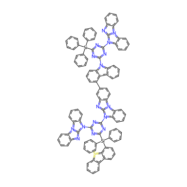 c1ccc([Si](c2ccccc2)(c2ccccc2)c2nc(-n3c4ccccc4c4c(-c5ccc6c(c5)nc5n(-c7nc(-n8c9ccccc9n9c%10ccccc%10nc89)nc([Si](c8ccccc8)(c8ccccc8)c8cccc9c8sc8ccccc89)n7)c7ccccc7n65)cccc43)nc(-n3c4ccccc4n4c5ccccc5nc34)n2)cc1